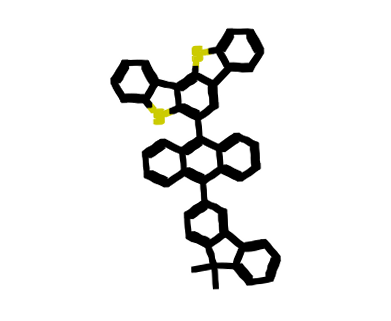 CC1(C)c2ccccc2-c2cc(-c3c4ccccc4c(-c4cc5c6ccccc6sc5c5c4sc4ccccc45)c4ccccc34)ccc21